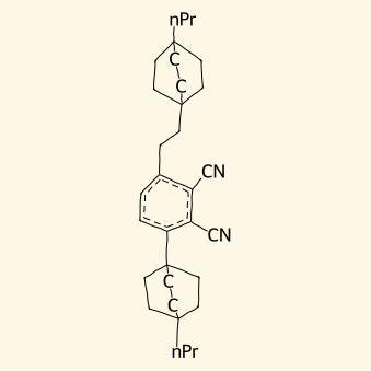 CCCC12CCC(CCc3ccc(C45CCC(CCC)(CC4)CC5)c(C#N)c3C#N)(CC1)CC2